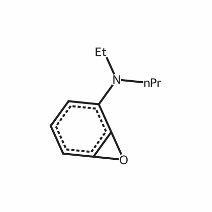 CCCN(CC)c1cccc2c1O2